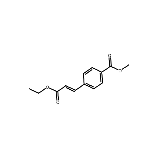 CCOC(=O)C=Cc1ccc(C(=O)OC)cc1